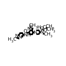 CCN(C(=O)OC(C)(C)C)C1CCN(c2ccc(C(=O)Nc3ccc4nc(C)cn4c3)c3nn(C)cc23)CC1